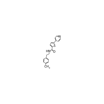 Cc1ccc(CCNC(=O)c2ccc(-c3ccncc3)s2)cc1